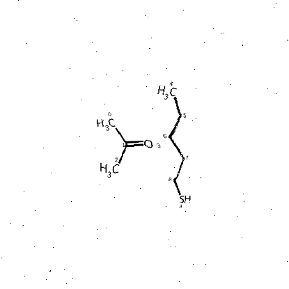 CC(C)=O.CCCCCS